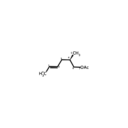 C/C=C/C[C@@H](C)COC(C)=O